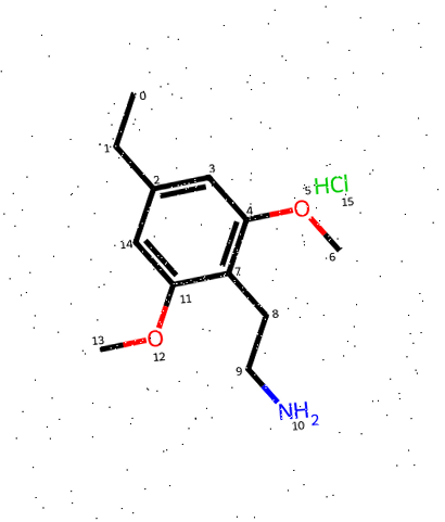 CCc1cc(OC)c(CCN)c(OC)c1.Cl